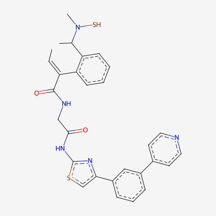 C/C=C(/C(=O)NCC(=O)Nc1nc(-c2cccc(-c3ccncc3)c2)cs1)c1ccccc1C(C)N(C)S